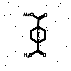 COC(=O)C12CCC(C(N)=O)(CC1)CC2